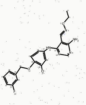 CCO/N=C/c1c(N)ncnc1Nc1ccc(OCc2cccc(F)c2)c(Cl)c1